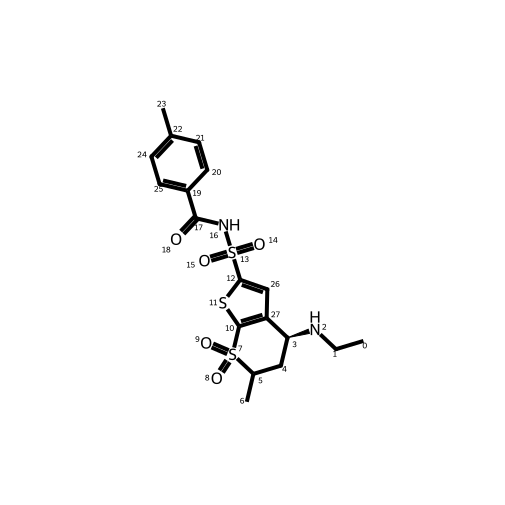 CCN[C@H]1CC(C)S(=O)(=O)c2sc(S(=O)(=O)NC(=O)c3ccc(C)cc3)cc21